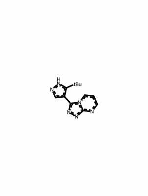 CC(C)(C)c1[nH]ncc1-c1nnc2ncccn12